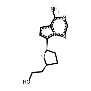 Nc1ncnn2c([C@H]3CC[C@@H](CCO)O3)ccc12